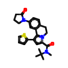 CN(C(=O)c1cc(-c2cccs2)c2n1CCc1ccc(N3CCCC3=O)cc1-2)C(C)(C)C